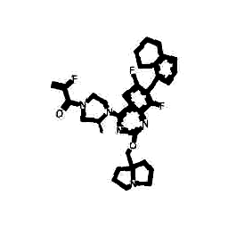 C=C(F)C(=O)N1CCN(c2nc(OCC34CCCN3CCC4)nc3c(F)c(-c4cccc5c4CCCC5)c(F)cc23)[C@@H](C)C1